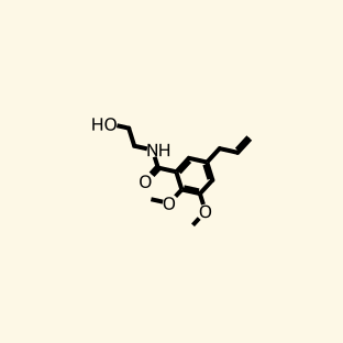 C=CCc1cc(OC)c(OC)c(C(=O)NCCO)c1